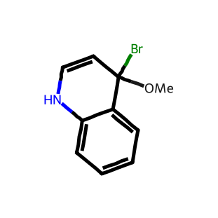 COC1(Br)C=CNc2ccccc21